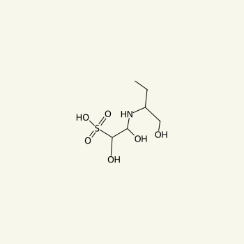 CCC(CO)NC(O)C(O)S(=O)(=O)O